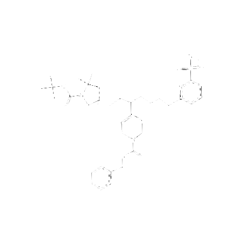 CC(C)(C)OC(=O)N1C[C@@H](CCC(CCCCc2cccc(S(N)(=O)=O)n2)C2=CCN(C(=O)OCc3ccccc3)CC2)CC1(C)C